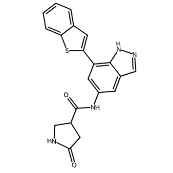 O=C1CC(C(=O)Nc2cc(-c3cc4ccccc4s3)c3[nH]ncc3c2)CN1